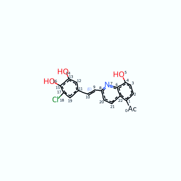 CC(=O)c1ccc(O)c2nc(/C=C/c3cc(O)c(O)c(Cl)c3)ccc12